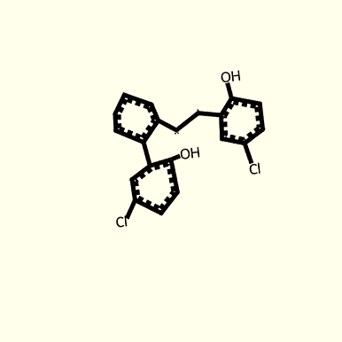 Oc1ccc(Cl)cc1[CH][C]c1ccccc1-c1cc(Cl)ccc1O